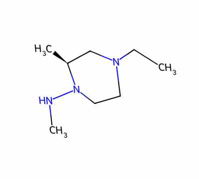 CCN1CCN(NC)[C@@H](C)C1